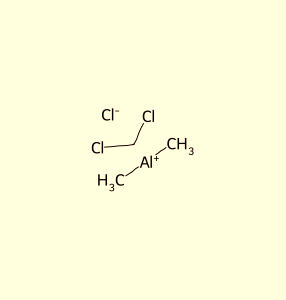 ClCCl.[CH3][Al+][CH3].[Cl-]